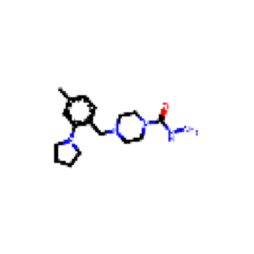 Cc1ccc(CN2CCN(C(=O)NN)CC2)c(N2CCCC2)c1